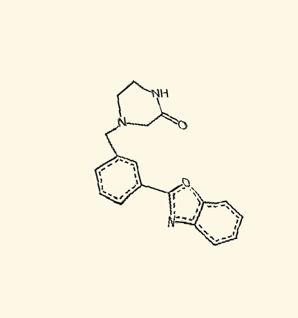 O=C1CN(Cc2cccc(-c3nc4ccccc4o3)c2)CCN1